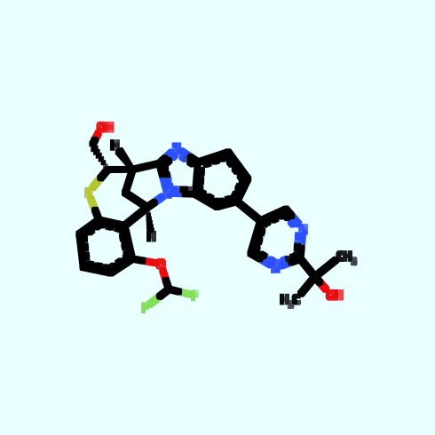 CC(C)(O)c1ncc(-c2ccc3nc4n(c3c2)[C@@H]2C[C@@H]4[C@@H](CO)Sc3cccc(OC(F)F)c32)cn1